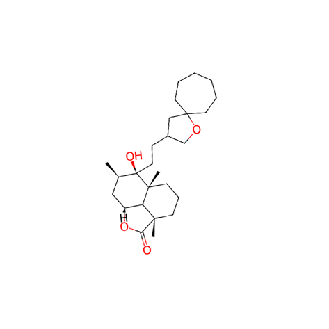 C[C@@H]1C[C@H]2OC(=O)[C@@]3(C)CCC[C@](C)(C23)[C@@]1(O)CCC1COC2(CCCCCC2)C1